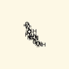 Fc1cc(N2CCOCC2)ccc1N1N=CC2=C(OC3CCNCC3)N=CNC21